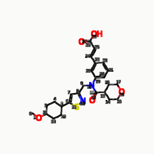 COC1CCC(c2cc(CN(C(=O)C3CCOCC3)c3cccc(C=CC(=O)O)c3)ns2)CC1